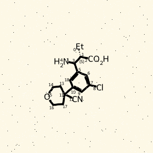 CC[C@H](C(=O)O)C(N)c1cc(Cl)cc(C2(C#N)CCOCC2)c1